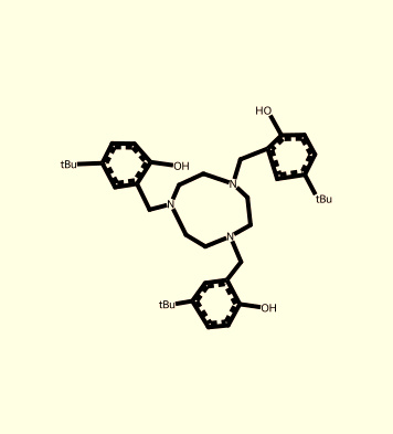 CC(C)(C)c1ccc(O)c(CN2CCN(Cc3cc(C(C)(C)C)ccc3O)CCN(Cc3cc(C(C)(C)C)ccc3O)CC2)c1